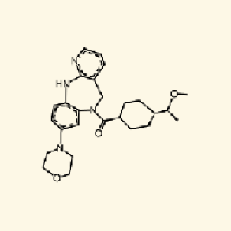 CO[C@@H](C)[C@H]1CC[C@@H](C(=O)N2Cc3cccnc3Nc3ccc(N4CCOCC4)cc32)CC1